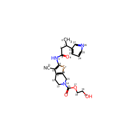 CC(CC(=O)Nc1sc2c(c1C#N)CCN(C(=O)OCCO)C2)c1cccnc1